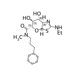 CCNC1=N[C@@H]2[C@@H](O)[C@H](O)[C@@H](C(=O)N(C)CCCc3ccccc3)O[C@@H]2S1